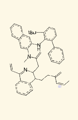 C=CC1=NC(CC(=C)N(C)c2cc3ccccc3cc2Nc2c(-c3ccccc3)cccc2C(C)(C)C)C(CCC(=C)/C=C\C)c2ccccc21